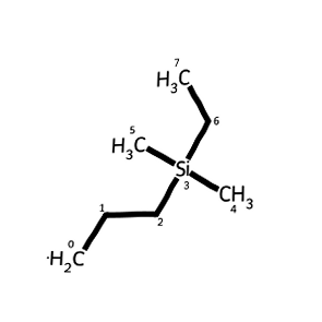 [CH2]CC[Si](C)(C)CC